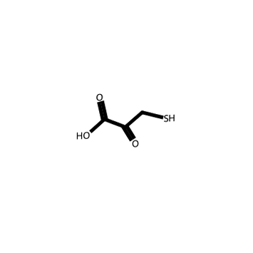 O=C(O)C(=O)CS